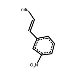 CCCCC=Cc1cccc([N+](=O)[O-])c1